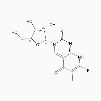 Cc1c(F)[nH]c2nc(=S)n([C@@H]3O[C@H](CO)C(O)[C@@H]3O)cc2c1=O